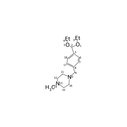 CCOC(OCC)c1ccc(CN2CCN(C)CC2)cc1